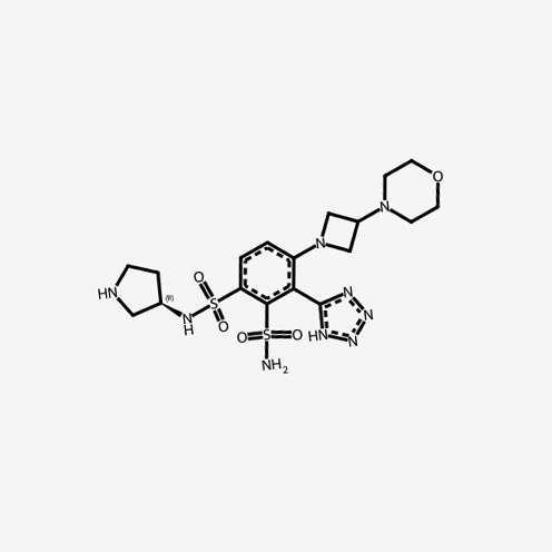 NS(=O)(=O)c1c(S(=O)(=O)N[C@@H]2CCNC2)ccc(N2CC(N3CCOCC3)C2)c1-c1nnn[nH]1